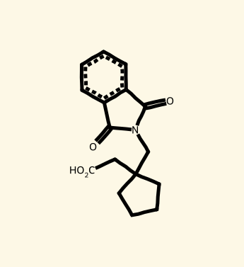 O=C(O)CC1(CN2C(=O)c3ccccc3C2=O)CCCC1